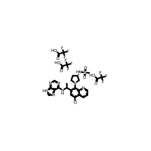 CC(Nc1ncnc2[nH]cnc12)c1cc(Cl)c2cccnc2c1N1CC[C@H](NS(C)(=O)=O)C1.O=C(O)C(F)(F)F.O=C(O)C(F)(F)F.O=C(O)C(F)(F)F